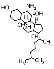 CC(C)CCCC(C)[C@H]1CC[C@H]2[C@@H]3[C@H](O)[C@@H](N)C4C[C@@H](O)CC[C@]4(C)[C@H]3CC[C@]12C